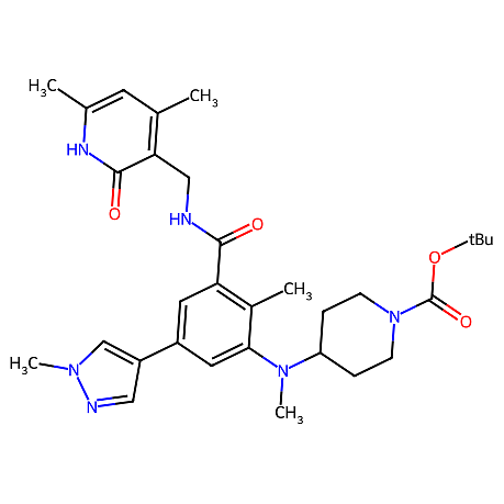 Cc1cc(C)c(CNC(=O)c2cc(-c3cnn(C)c3)cc(N(C)C3CCN(C(=O)OC(C)(C)C)CC3)c2C)c(=O)[nH]1